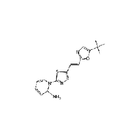 CC(C)(C)c1cnc(/C=C/c2cnc(N3C=CC=CC3N)s2)o1